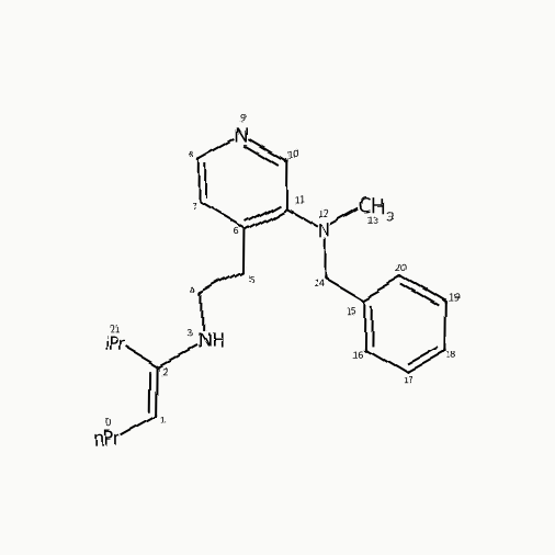 CCC/C=C(/NCCc1ccncc1N(C)Cc1ccccc1)C(C)C